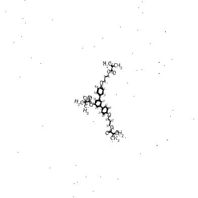 C=C(C)C(=O)OCCCOc1ccc(-c2cc(OC(=O)C(C)(C)C)cc(-c3ccc(OCCCOC(=O)C(=C)C)cc3)c2)cc1